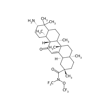 CC1(C)C2CC[C@]3(C)[C@H](C(=O)C=C4[C@@H]5C[C@@](C)(C(=O)N(OC(F)(F)F)C(F)(F)F)CC[C@]5(C)CC[C@]43C)[C@@]2(C)CC[C@@H]1N